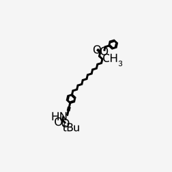 CC(CCCCCCCCCCCCc1ccc(C#CCNC(=O)OC(C)(C)C)cc1)CC(=O)OCc1ccccc1